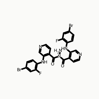 NN(C(=O)c1ccncc1Nc1ccc(Br)cc1F)C(=O)c1ccncc1Nc1ccc(Br)cc1F